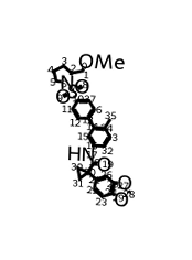 COCC1CCCN1S(=O)(=O)c1ccc(-c2cc(NC(=O)C3(c4ccc5c(c4)OCO5)CC3)ccc2C)cc1